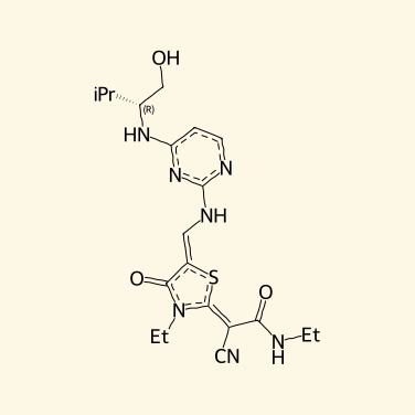 CCNC(=O)C(C#N)=c1sc(=CNc2nccc(N[C@@H](CO)C(C)C)n2)c(=O)n1CC